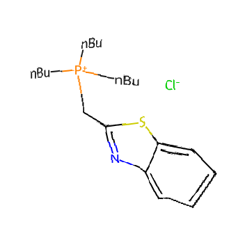 CCCC[P+](CCCC)(CCCC)Cc1nc2ccccc2s1.[Cl-]